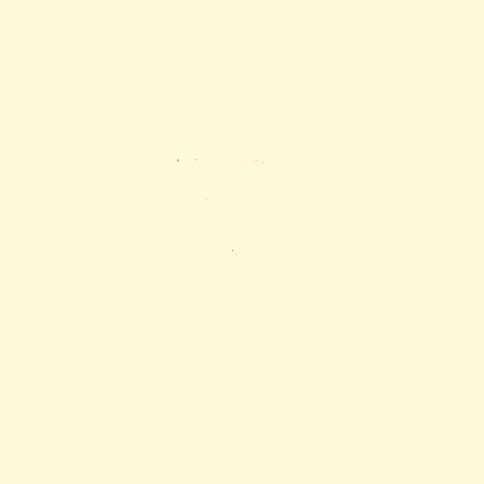 CCCCCCOC1(OCCCCCC)CC(c2ccccc2)N(O)C(c2ccccc2)C1